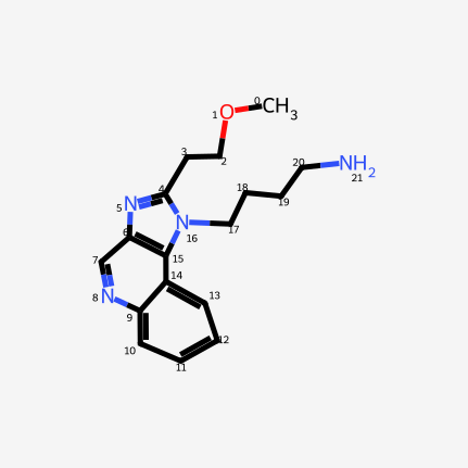 COCCc1nc2cnc3ccccc3c2n1CCCCN